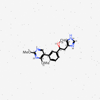 COc1ncc(-c2cccc(C(Cc3c[nH]cn3)OC=O)c2)c(OC)n1